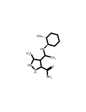 CC1NNC(C(N)=O)C1C(C)N[C@@H]1CCCC[C@H]1O